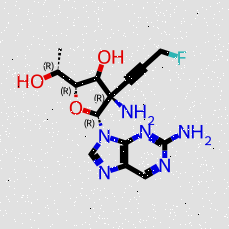 C[C@@H](O)[C@H]1O[C@@H](n2cnc3cnc(N)nc32)[C@@](N)(C#CCF)C1O